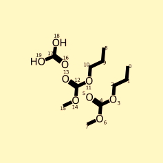 CCCOC(=O)OC.CCCOC(=O)OC.O=C(O)O